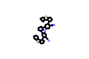 N#Cc1cc2c(cc1-c1cccc3sc4ccccc4c13)c1cccc3c4cc(-c5cccc6sc7ccccc7c56)c(C#N)cc4n2c13